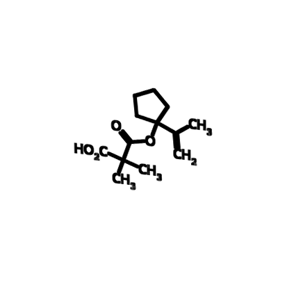 C=C(C)C1(OC(=O)C(C)(C)C(=O)O)CCCC1